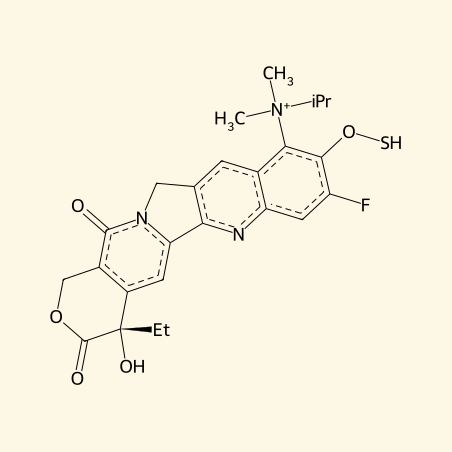 CC[C@@]1(O)C(=O)OCc2c1cc1n(c2=O)Cc2cc3c([N+](C)(C)C(C)C)c(OS)c(F)cc3nc2-1